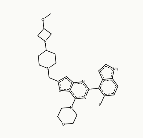 COC1CN(C2CCN(Cc3cc4nc(-c5c(F)ccc6[nH]ccc56)nc(N5CCOCC5)c4s3)CC2)C1